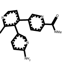 CNC(=O)c1ccc(-c2ccnc(C)c2-c2ccc(N)nc2)cn1